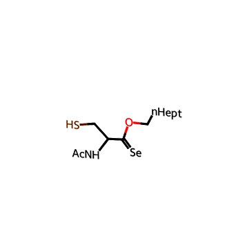 CCCCCCCCOC(=[Se])C(CS)NC(C)=O